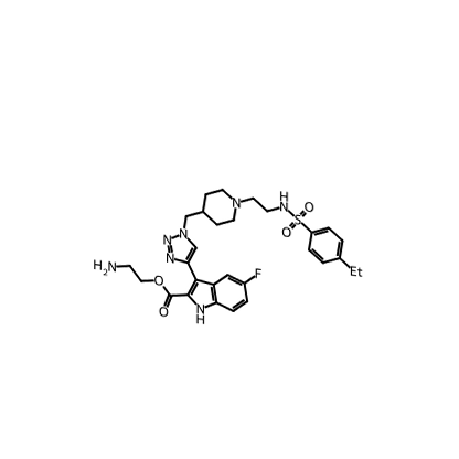 CCc1ccc(S(=O)(=O)NCCN2CCC(Cn3cc(-c4c(C(=O)OCCN)[nH]c5ccc(F)cc45)nn3)CC2)cc1